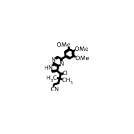 COc1cc(-c2cnc3[nH]cc(C(=O)C(C)(C)CCC#N)c3n2)cc(OC)c1OC